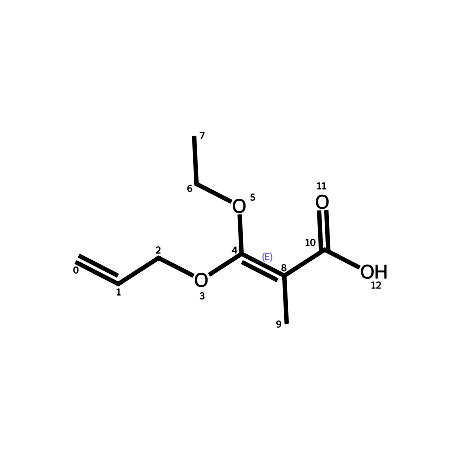 C=CCO/C(OCC)=C(\C)C(=O)O